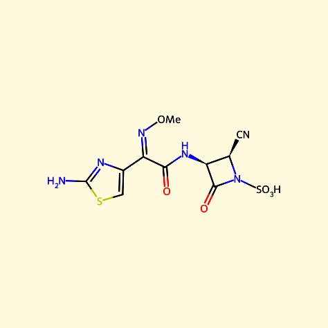 CON=C(C(=O)N[C@@H]1C(=O)N(S(=O)(=O)O)[C@@H]1C#N)c1csc(N)n1